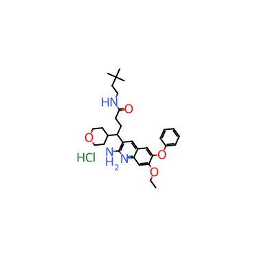 CCOc1cc2nc(N)c(C(CCC(=O)NCCC(C)(C)C)C3CCOCC3)cc2cc1Oc1ccccc1.Cl